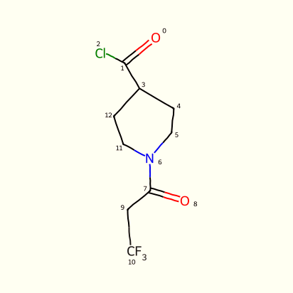 O=C(Cl)C1CCN(C(=O)CC(F)(F)F)CC1